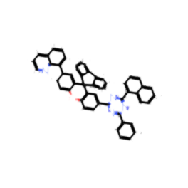 C1=C2Oc3ccc(-c4nc(-c5ccccc5)nc(-c5cccc6ccccc56)n4)cc3C3(C2=CC(c2cccc4cccnc24)C1)c1ccccc1-c1ccccc13